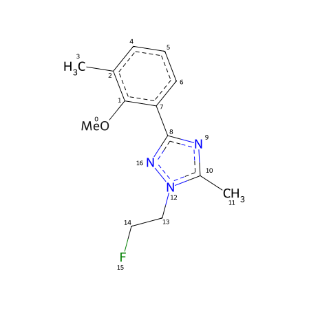 COc1c(C)cccc1-c1nc(C)n(CCF)n1